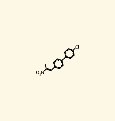 C/C(=C\c1ccc(-c2ccc(Cl)cc2)cc1)[N+](=O)[O-]